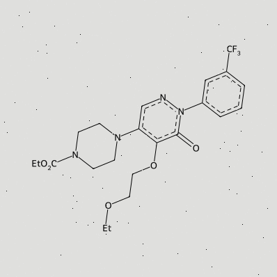 CCOCCOc1c(N2CCN(C(=O)OCC)CC2)cnn(-c2cccc(C(F)(F)F)c2)c1=O